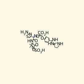 CC1(C)[C@H](NC(=O)/C(=N\O[C@H](COc2ccc(C(=N)N[C@@H]3CCCNC3)cc2)C(=O)O)c2csc(N)n2)C(=O)N1OS(=O)(=O)O